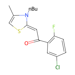 CCCCN1C(C)=CSC1=CC(=O)c1cc(Cl)ccc1F